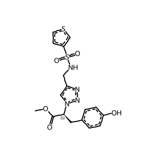 COC(=O)[C@H](Cc1ccc(O)cc1)n1cc(CNS(=O)(=O)c2ccsc2)nn1